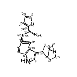 N=C(Nc1ccc2[nH]cc(C3CC45CN4CCC35)c2c1)c1ccco1